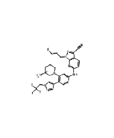 N#Cc1nn(CCCF)c2nc(Nc3cc(N4CCC[C@H](N)C4)c(-c4cnn(CC(F)(F)F)c4)cn3)ccc12